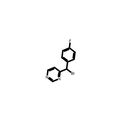 Fc1ccc(C(Br)c2ccncn2)cc1